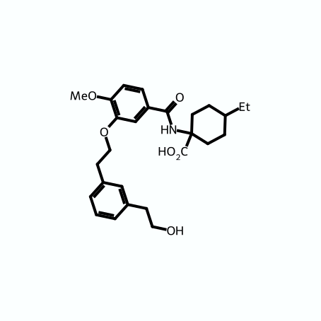 CCC1CCC(NC(=O)c2ccc(OC)c(OCCc3cccc(CCO)c3)c2)(C(=O)O)CC1